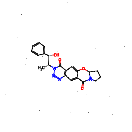 C[C@H]([C@@H](O)c1ccccc1)n1nnc2cc3c(cc2c1=O)OC1CCCN1C3=O